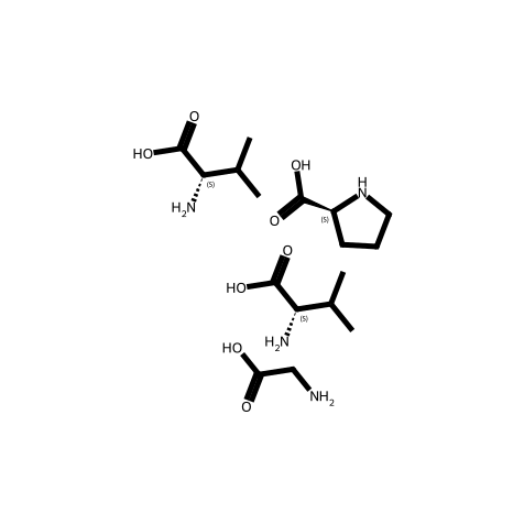 CC(C)[C@H](N)C(=O)O.CC(C)[C@H](N)C(=O)O.NCC(=O)O.O=C(O)[C@@H]1CCCN1